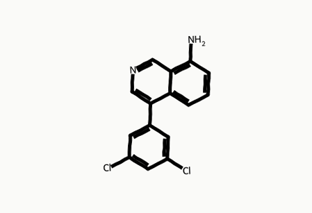 Nc1cccc2c(-c3cc(Cl)cc(Cl)c3)cncc12